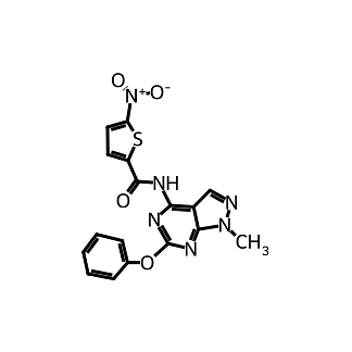 Cn1ncc2c(NC(=O)c3ccc([N+](=O)[O-])s3)nc(Oc3ccccc3)nc21